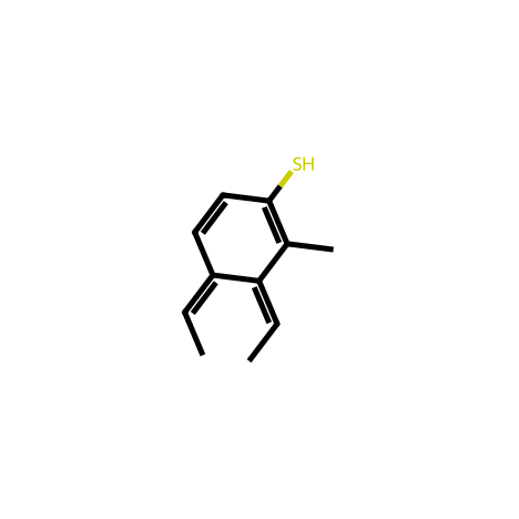 C/C=c1/ccc(S)c(C)/c1=C/C